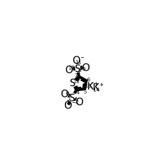 O=S(=O)([O-])c1ccc(S(=O)(=O)[O-])s1.[K+].[K+]